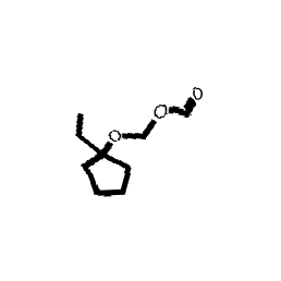 CCC1(OCO[C]=O)CCCC1